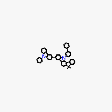 CC1(C)c2ccccc2-c2c1ccc1c3cc(-c4ccc5c(c4)c4ccccc4n5-c4ccccc4)ccc3n(-c3cccc(-c4ccccc4)c3)c21